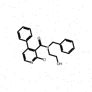 O=C(c1c(-c2ccccc2)ccnc1Cl)N(CCO)Cc1ccccc1